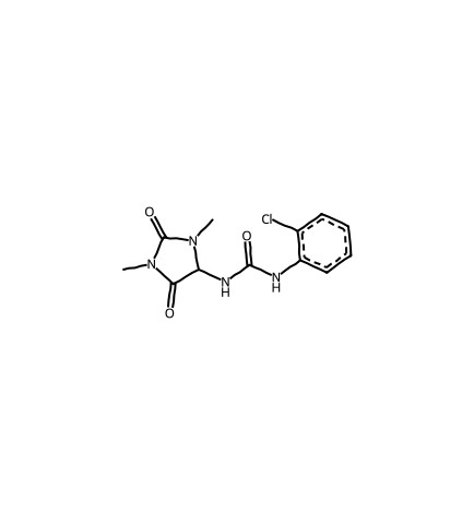 CN1C(=O)C(NC(=O)Nc2ccccc2Cl)N(C)C1=O